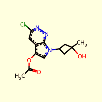 CC(=O)Oc1cn(C2CC(C)(O)C2)c2nnc(Cl)cc12